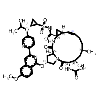 COc1ccc2c(O[C@@H]3C[C@H]4C(=O)N[C@]5(C(=O)NS(=O)(=O)C6CC6)C[C@H]5/C=C\CC[C@@H](C)C[C@@H](C)[C@H](NC(=O)O)C(=O)N4C3)nc(-c3ccc(OC(C)C)cn3)cc2c1